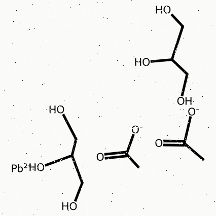 CC(=O)[O-].CC(=O)[O-].OCC(O)CO.OCC(O)CO.[Pb+2]